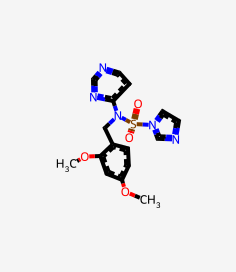 COc1ccc(CN(c2ccncn2)S(=O)(=O)n2ccnc2)c(OC)c1